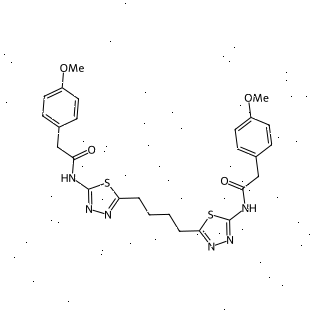 COc1ccc(CC(=O)Nc2nnc(CCCCc3nnc(NC(=O)Cc4ccc(OC)cc4)s3)s2)cc1